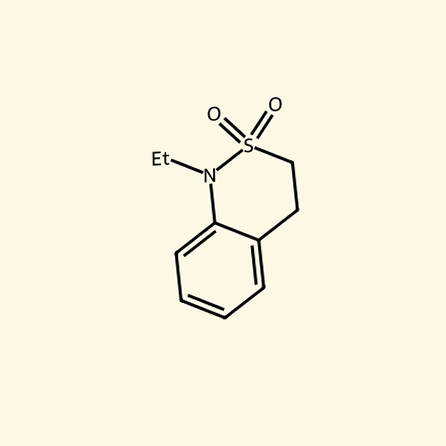 CCN1c2ccccc2CCS1(=O)=O